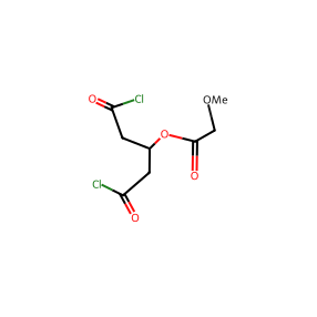 COCC(=O)OC(CC(=O)Cl)CC(=O)Cl